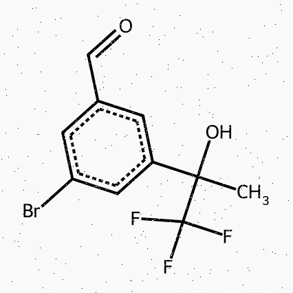 CC(O)(c1cc(Br)cc(C=O)c1)C(F)(F)F